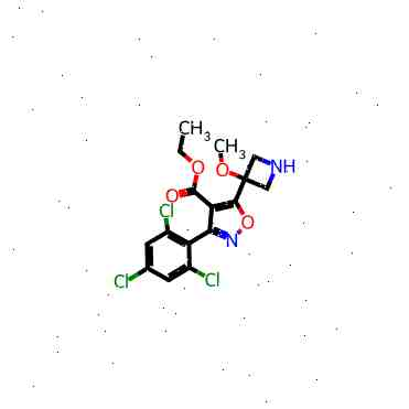 CCOC(=O)c1c(-c2c(Cl)cc(Cl)cc2Cl)noc1C1(OC)CNC1